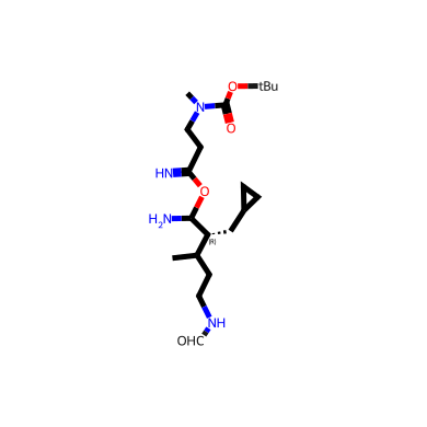 CC(CCNC=O)[C@@H](CC1CC1)C(N)OC(=N)CCN(C)C(=O)OC(C)(C)C